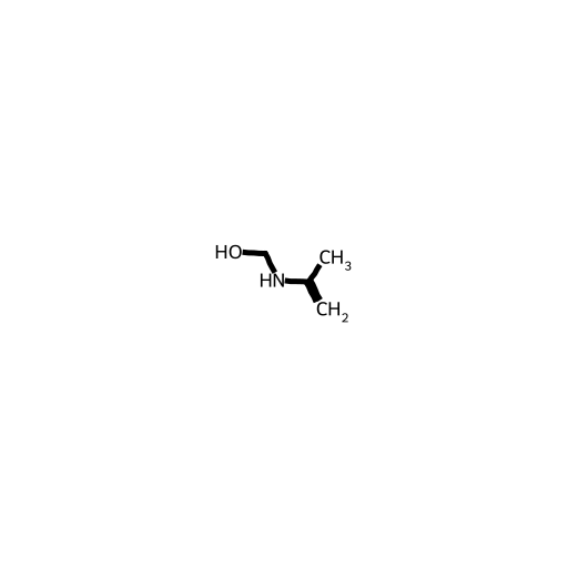 C=C(C)NCO